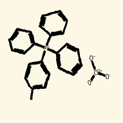 Cc1ccc([P+](c2ccccc2)(c2ccccc2)c2ccccc2)cc1.[O-][Cl+2]([O-])[O-]